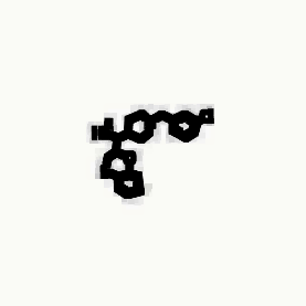 CNC(C1CCN(Cc2cccc(Cl)c2)CC1)C1CSc2ccccc2O1